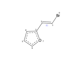 Br/C=C/c1ccco1